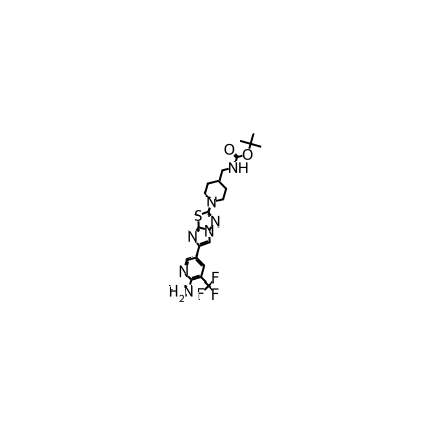 CC(C)(C)OC(=O)NCC1CCN(c2nn3cc(-c4cnc(N)c(C(F)(F)F)c4)nc3s2)CC1